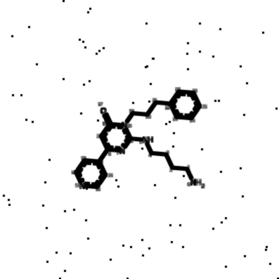 NCCCCNc1nc(-c2ccncc2)cc(=O)n1CCCc1ccccc1